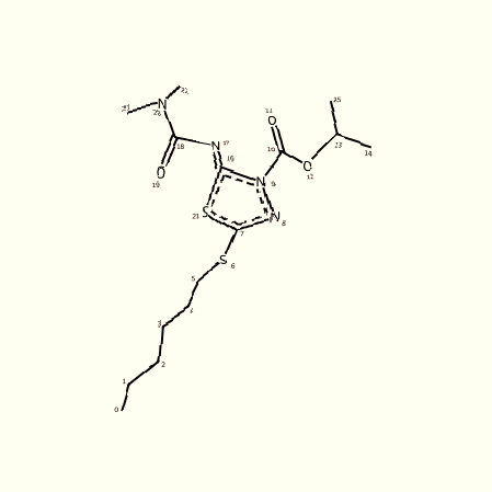 CCCCCCSc1nn(C(=O)OC(C)C)c(=NC(=O)N(C)C)s1